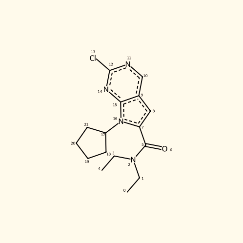 CCN(CC)C(=O)c1cc2cnc(Cl)nc2n1C1CCCC1